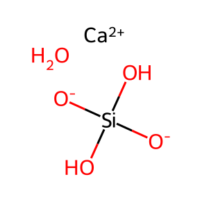 O.[Ca+2].[O-][Si]([O-])(O)O